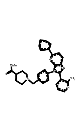 COC(=O)C1CCN(Cc2ccc(-n3c(-c4cccnc4N)nc4ccc(-c5ccccc5)nc43)cc2)CC1